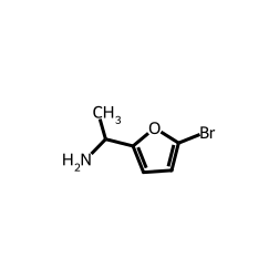 CC(N)c1ccc(Br)o1